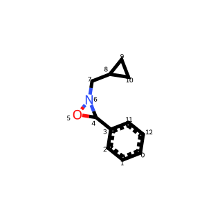 c1ccc(C2ON2CC2CC2)cc1